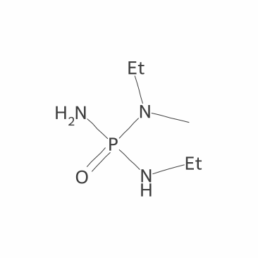 CCNP(N)(=O)N(C)CC